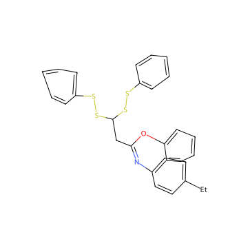 CCc1ccc(/N=C(/CC(SSc2ccccc2)SSc2ccccc2)Oc2ccccc2)cc1